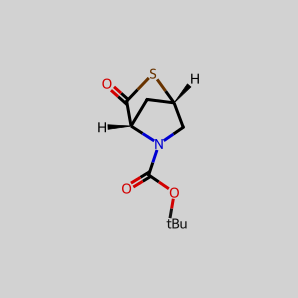 CC(C)(C)OC(=O)N1C[C@@H]2C[C@H]1C(=O)S2